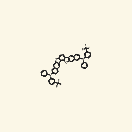 FC(F)(F)c1cccc(N(c2ccccc2)c2ccc3cc4c(cc3c2)oc2c4ccc3oc4cc5cc(N(c6ccccc6)c6cccc(C(F)(F)F)c6)ccc5cc4c32)c1